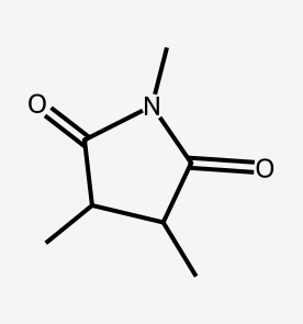 CC1C(=O)N(C)C(=O)C1C